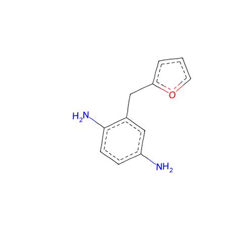 Nc1ccc(N)c(Cc2ccco2)c1